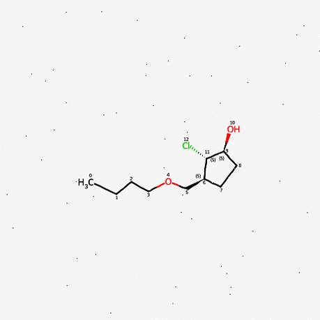 CCCCOC[C@@H]1CC[C@H](O)[C@H]1Cl